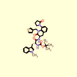 Cn1cc(C[C@@H](NC(=O)OC(C)(C)C)C(=O)NC2Cc3cccc(N4CCCC4=O)c3N(Cc3ccsc3)C2=O)c2ccccc21